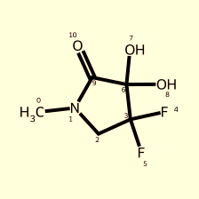 CN1CC(F)(F)C(O)(O)C1=O